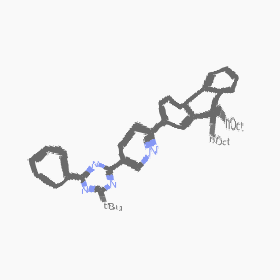 CCCCCCCCC1(CCCCCCCC)c2ccccc2-c2ccc(-c3ccc(-c4nc(-c5ccccc5)nc(C(C)(C)C)n4)cn3)cc21